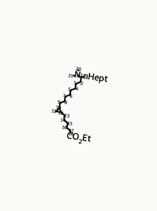 CCCCCCCC(CCCCCCCCC1CC1CCCCCC(=O)OCC)N(C)C